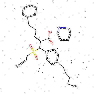 C=CCS(=O)(=O)C(c1ccc(CCCCC)cc1)C(CCCc1ccccc1)C(=O)O.c1ccncc1